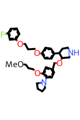 COCCCOc1cc(COC2CNCCC2c2ccc(OCCCOc3cccc(F)c3)cc2)ccc1N1CCCC1